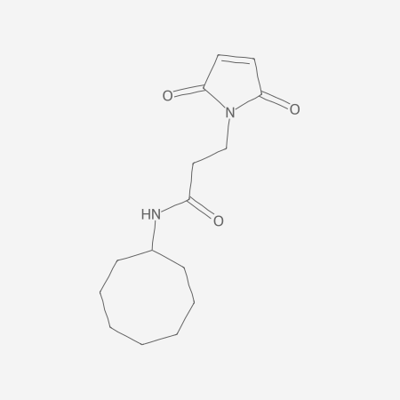 O=C(CCN1C(=O)C=CC1=O)NC1CCCCCCC1